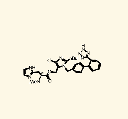 CCCCc1nc(Cl)c(COC(=O)[C@H](Cc2ncc[nH]2)NC)n1Cc1ccc(-c2ccccc2-c2nn[nH]n2)cc1